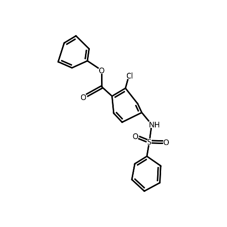 O=C(Oc1ccccc1)c1ccc(NS(=O)(=O)c2ccccc2)cc1Cl